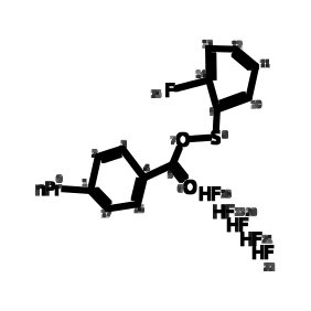 CCCc1ccc(C(=O)OSc2ccccc2F)cc1.F.F.F.F.F